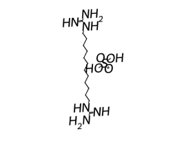 N=C(N)NCCCCCCCCCCCCNC(=N)N.O=S(=O)(O)O